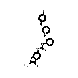 CC1=C(C)C2C=CC(NC(=O)N[C@@H]3CCCC[C@H]3CN3CCC[C@@H](Cc4ccc(F)cc4)C3)=CC2N1